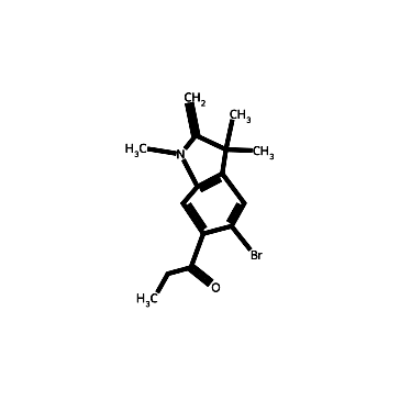 C=C1N(C)c2cc(C(=O)CC)c(Br)cc2C1(C)C